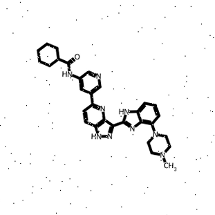 CN1CCN(c2cccc3[nH]c(-c4n[nH]c5ccc(-c6cncc(NC(=O)C7CCCCC7)c6)nc45)nc23)CC1